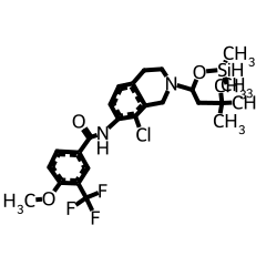 COc1ccc(C(=O)Nc2ccc3c(c2Cl)CN(C(CC(C)(C)C)O[SiH](C)C)CC3)cc1C(F)(F)F